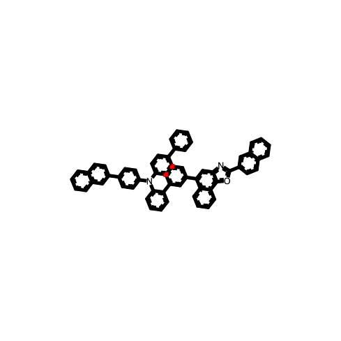 c1ccc(-c2ccc(N(c3ccc(-c4ccc5ccccc5c4)cc3)c3ccccc3-c3cccc(-c4cc5nc(-c6ccc7ccccc7c6)oc5c5ccccc45)c3)cc2)cc1